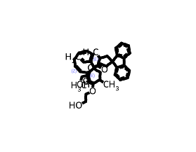 C=C/C1=C\C=CC/C=C\C(=C/C)C1(CCC1(CC(C)C(=O)OCCO)c2ccccc2-c2ccccc21)CC(C)C(=O)OCCO